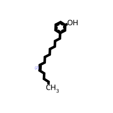 CCCC/C=C\CCCCCCCc1cccc(O)c1